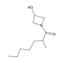 CCCCCC(C)C(=O)N1CC(O)C1